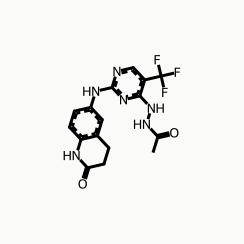 CC(=O)NNc1nc(Nc2ccc3c(c2)CCC(=O)N3)ncc1C(F)(F)F